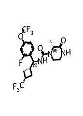 C[C@@H]1C(=O)NCCN1C(=O)N[C@H](c1ccc(OC(F)(F)F)cc1F)[C@H]1C[C@H](C(F)(F)F)C1